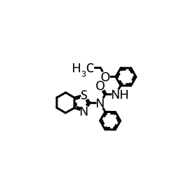 CCOc1ccccc1NC(=O)N(c1ccccc1)c1nc2c(s1)CCCC2